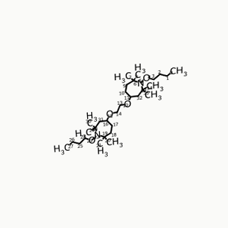 CCCCON1C(C)(C)CCC(OCCOC2CCC(C)(C)N(OCCCC)C(C)(C)C2)CC1(C)C